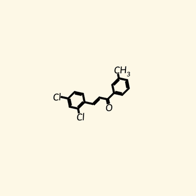 Cc1cccc(C(=O)C=Cc2ccc(Cl)cc2Cl)c1